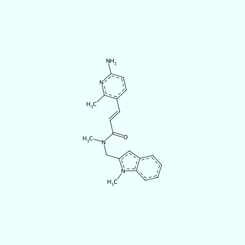 Cc1nc(N)ccc1C=CC(=O)N(C)Cc1cc2ccccc2n1C